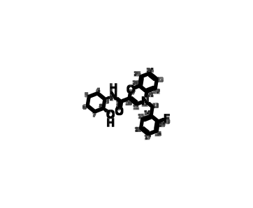 O=C(N[C@H]1CCCC[C@@H]1O)C1=CN(Cc2ccccc2F)c2ccccc2O1